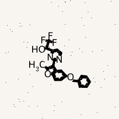 Cc1oc2ccc(OCc3ccccc3)cc2c1-c1nccc([C@H](O)C(F)(F)F)n1